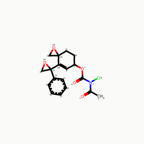 CC(=O)N(Cl)C(=O)OC1C=C(C2(c3ccccc3)CO2)C2(CC1)CO2